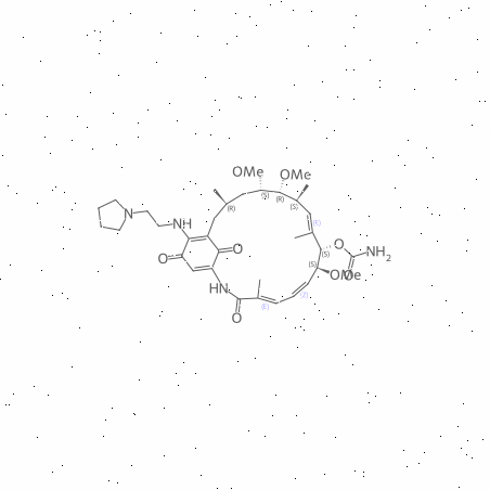 CO[C@H]1[C@@H](OC)C[C@H](C)CC2=C(NCCN3CCCC3)C(=O)C=C(NC(=O)/C(C)=C/C=C\[C@H](OC)[C@@H](OC(N)=O)/C(C)=C/[C@@H]1C)C2=O